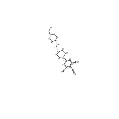 CC[C@H]1CC[C@H](CC[C@H]2CC[C@H](c3cc(F)c(C#N)c(F)c3)CC2)CC1